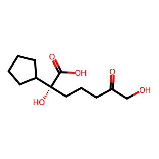 O=C(CO)CCC[C@](O)(C(=O)O)C1CCCC1